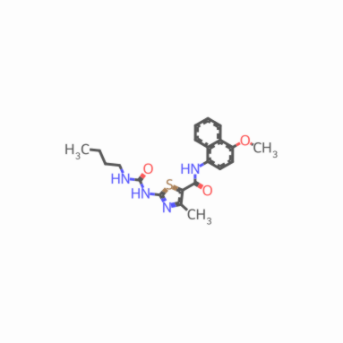 CCCCNC(=O)Nc1nc(C)c(C(=O)Nc2ccc(OC)c3ccccc23)s1